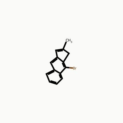 CC1=Cc2cc3ccccc3c(Br)c2C1